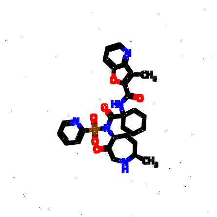 Cc1c(C(=O)NC2(C(=O)N([C@H]3CC[C@@H](C)NCC3=O)S(=O)(=O)c3ccccn3)CCCCC2)oc2cccnc12